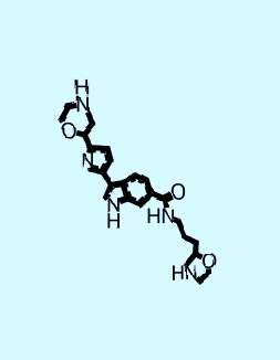 O=C(NCCCC1CNCCO1)c1ccc2c(-c3ccc(C4CNCCO4)nc3)c[nH]c2c1